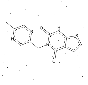 Cc1cnc(Cn2c(=O)[nH]c3sccc3c2=O)cn1